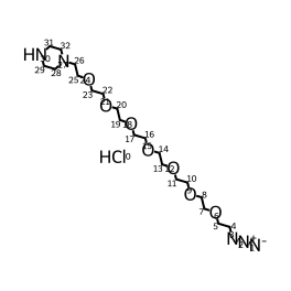 Cl.[N-]=[N+]=NCCOCCOCCOCCOCCOCCOCCOCCN1CCNCC1